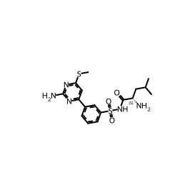 CSc1cc(-c2cccc(S(=O)(=O)NC(=O)[C@@H](N)CC(C)C)c2)nc(N)n1